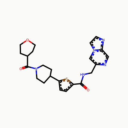 O=C(NCc1cn2ccnc2cn1)c1ccc(C2CCN(C(=O)C3CCOCC3)CC2)s1